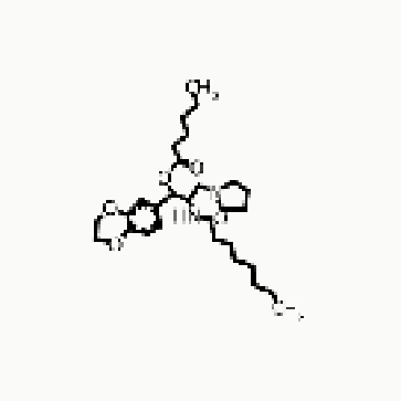 CCCCCCCC(=O)NC(CN1CCCC1)C(OC(=O)CCCCC)c1ccc2c(c1)OCCO2